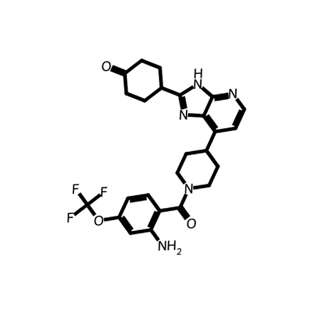 Nc1cc(OC(F)(F)F)ccc1C(=O)N1CCC(c2ccnc3[nH]c(C4CCC(=O)CC4)nc23)CC1